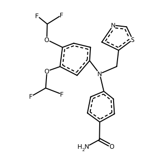 NC(=O)c1ccc(N(Cc2cncs2)c2ccc(OC(F)F)c(OC(F)F)c2)cc1